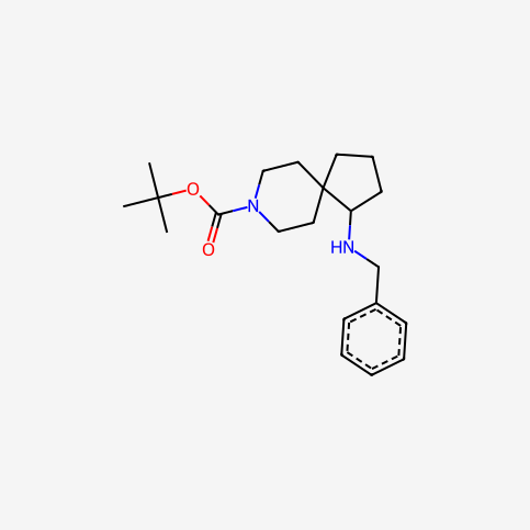 CC(C)(C)OC(=O)N1CCC2(CCCC2NCc2ccccc2)CC1